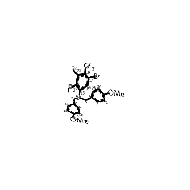 COc1ccc(CN(Cc2ccc(OC)cc2)c2cc(Br)c(C(F)(F)F)c(C)c2F)cc1